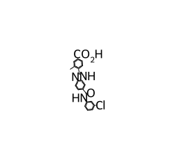 Cc1cc(C(=O)O)ccc1-c1nc2ccc(C(=O)Nc3cccc(Cl)c3)cc2[nH]1